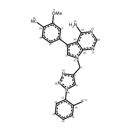 COc1cc(-c2cn(Cc3cn(-c4ccccc4F)nn3)c3ncnc(N)c23)ccc1C#N